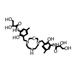 Cc1cc(CN2CCCN(Cc3cc(C)cc(NC(=O)C(O)CO)c3O)CCNCC2)c(O)c(NC(=O)C(O)CO)c1